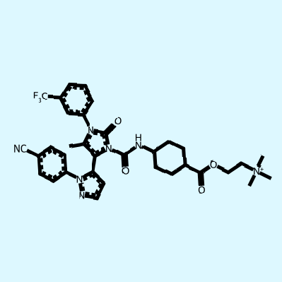 Cc1c(-c2ccnn2-c2ccc(C#N)cc2)n(C(=O)NC2CCC(C(=O)OCC[N+](C)(C)C)CC2)c(=O)n1-c1cccc(C(F)(F)F)c1